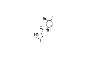 O=C(Nc1ccc(F)c(Br)c1)C1CC(F)CN1